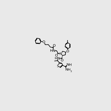 Cc1ccc(O[C@@H]2C[C@@H](C(=O)NC(C)c3cc(C(=N)N)cs3)N(C(=O)CNC(=O)CCCOc3ccccc3)C2)cc1